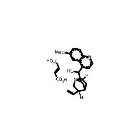 C=C[C@@H]1CN2CCC1C[C@H]2C(O)c1ccnc2ccc(OC)cc12.O=C(O)/C=C/C(=O)O